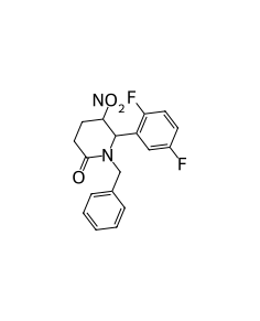 O=C1CCC([N+](=O)[O-])C(c2cc(F)ccc2F)N1Cc1ccccc1